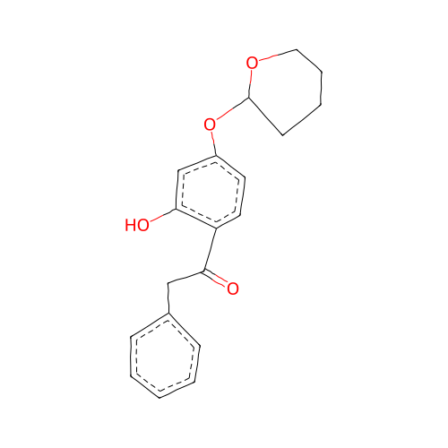 O=C(Cc1ccccc1)c1ccc(OC2CCCCO2)cc1O